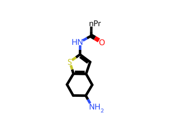 CCCC(=O)Nc1cc2c(s1)CCC(N)C2